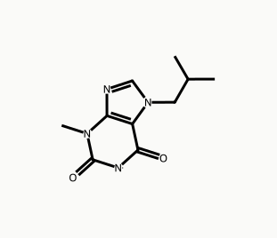 CC(C)Cn1cnc2c1C(=O)[N]C(=O)N2C